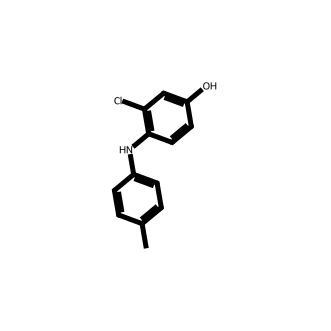 Cc1ccc(Nc2ccc(O)cc2Cl)cc1